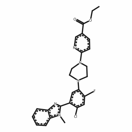 CCOC(=O)c1ccc(N2CCN(c3cc(-c4nc5ccccc5n4C)c(Cl)cc3F)CC2)nc1